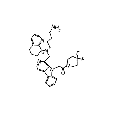 NCCCCN(Cc1nccc2c3ccccc3n(CC(=O)N3CCC(F)(F)CC3)c12)[C@H]1CCCc2cccnc21